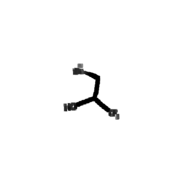 CC[C@H](C)CC(O)C(F)(F)F